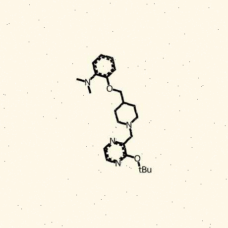 CN(C)c1ccccc1OCC1CCN(Cc2nccnc2OC(C)(C)C)CC1